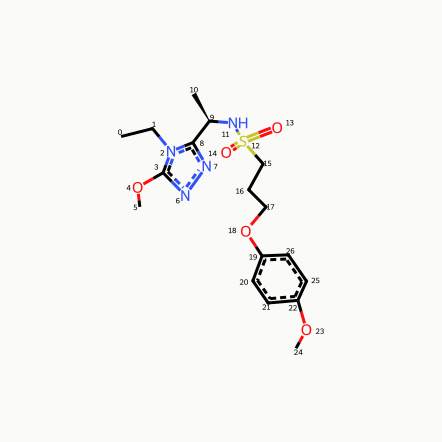 CCn1c(OC)nnc1[C@@H](C)NS(=O)(=O)CCCOc1ccc(OC)cc1